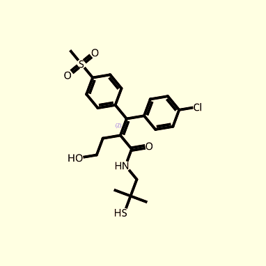 CC(C)(S)CNC(=O)/C(CCO)=C(\c1ccc(Cl)cc1)c1ccc(S(C)(=O)=O)cc1